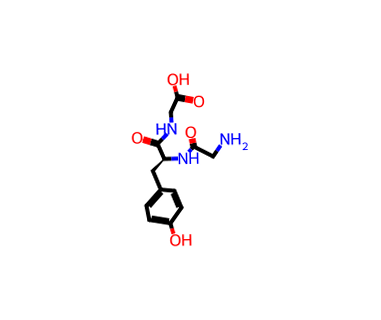 NCC(=O)N[C@@H](Cc1ccc(O)cc1)C(=O)NCC(=O)O